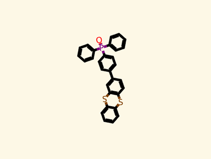 O=P(c1ccccc1)(c1ccccc1)c1ccc(-c2ccc3c(c2)Sc2ccccc2S3)cc1